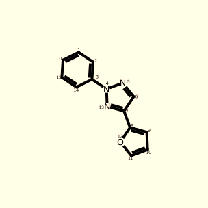 c1ccc(-n2ncc(-c3ccco3)n2)cc1